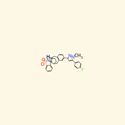 Cn1nc(-c2ccc3c(c2)CC2CC[C@@H](C3)[C@@]23NS(=O)(=O)c2ccccc23)cc1-c1ccc(F)cc1